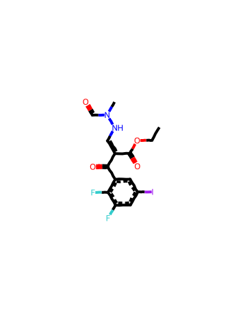 CCOC(=O)C(=CNN(C)C=O)C(=O)c1cc(I)cc(F)c1F